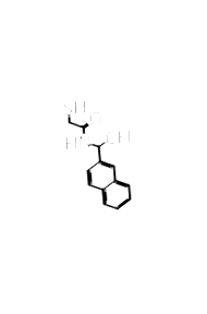 CC(NC(=O)CS)c1ccc2ccccc2c1